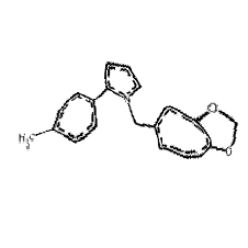 Cc1ccc(-c2cccn2Cc2ccc3c(c2)OCO3)cc1